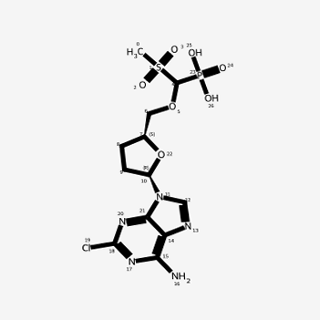 CS(=O)(=O)C(OC[C@@H]1CC[C@H](n2cnc3c(N)nc(Cl)nc32)O1)P(=O)(O)O